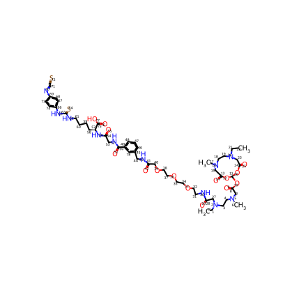 CCN(CCN(C)CC(=O)OC1OC(=O)CN(C)CCN(CC)CC(=O)O1)CC(=O)NCCOCCOCCOCC(=O)NCc1cccc(C(=O)NCC(=O)N[C@@H](CCCCNC(=S)Nc2ccc(N=C=S)cc2)C(=O)O)c1